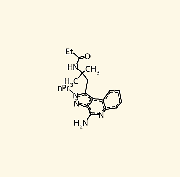 CCCn1nc2c(N)nc3ccccc3c2c1CC(C)(C)NC(=O)CC